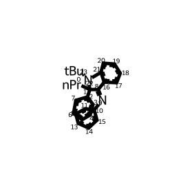 CCCC1(c2ccccc2)/C(=N\c2ccccc2)c2ccccc2N1C(C)(C)C